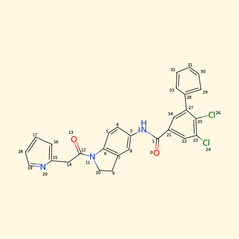 O=C(Nc1ccc2c(c1)CCN2C(=O)Cc1ccccn1)c1cc(Cl)c(Cl)c(-c2ccccc2)c1